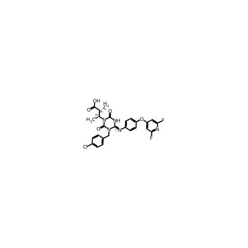 C[C@@H](C(=O)O)[C@H](C)n1c(=O)[nH]/c(=N\c2ccc(Oc3cc(F)nc(F)c3)cc2)n(Cc2ccc(Cl)cc2)c1=O